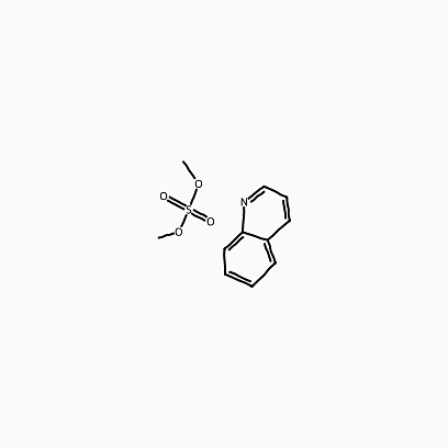 COS(=O)(=O)OC.c1ccc2ncccc2c1